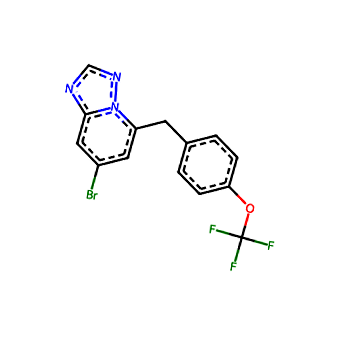 FC(F)(F)Oc1ccc(Cc2cc(Br)cc3ncnn23)cc1